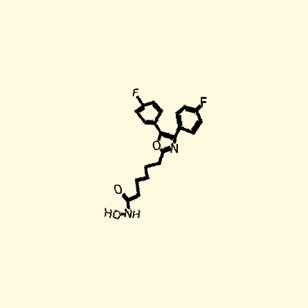 O=C(CCCCCc1nc(-c2ccc(F)cc2)c(-c2ccc(F)cc2)o1)NO